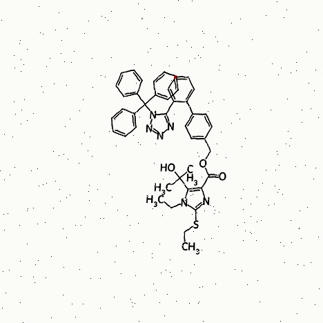 CCSc1nc(C(=O)OCc2ccc(-c3ccccc3-c3nnnn3C(c3ccccc3)(c3ccccc3)c3ccccc3)cc2)c(C(C)(C)O)n1CC